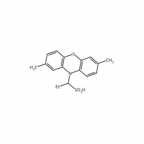 CCC(N1c2ccc(C)cc2Sc2ccc(C)cc21)S(=O)(=O)O